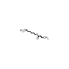 C=CCCCCCSC(=O)C=CC